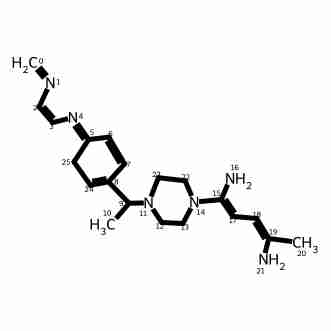 C=N/C=C\N=C1\C=CC(C(C)N2CCN(/C(N)=C/C=C(/C)N)CC2)=CC1